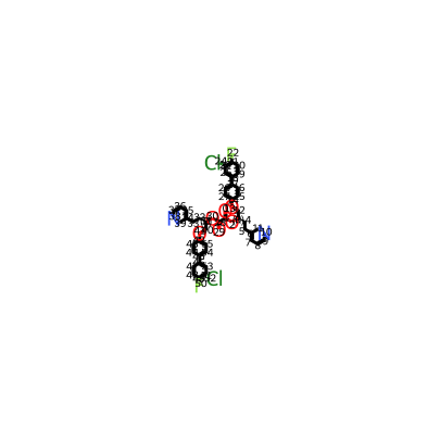 O=C(O[C@H](CCc1cccnc1)COc1ccc(-c2ccc(F)c(Cl)c2)cc1)C(=O)O[C@H](CCc1cccnc1)COc1ccc(-c2ccc(F)c(Cl)c2)cc1